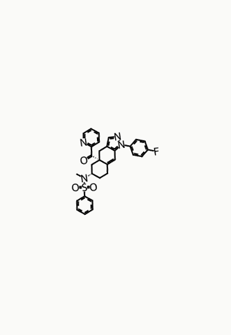 CN([C@H]1CCC2=Cc3c(cnn3-c3ccc(F)cc3)C[C@]2(C(=O)c2ccccn2)C1)S(=O)(=O)c1ccccc1